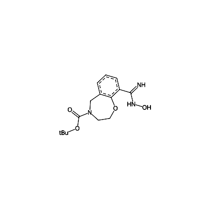 CC(C)(C)OC(=O)N1CCOc2c(cccc2C(=N)NO)C1